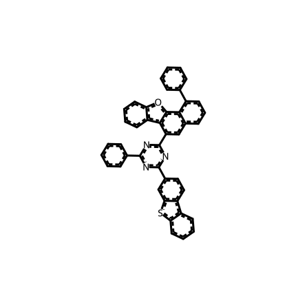 c1ccc(-c2nc(-c3ccc4c(c3)sc3ccccc34)nc(-c3cc4cccc(-c5ccccc5)c4c4oc5ccccc5c34)n2)cc1